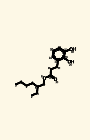 CCCCC(CC)COC(=O)CCc1cccc(O)c1O